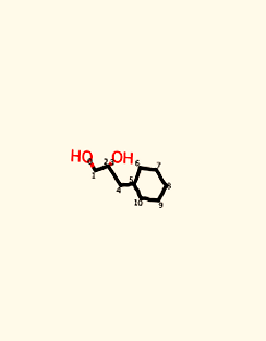 OC[C@@H](O)CC1CCCCC1